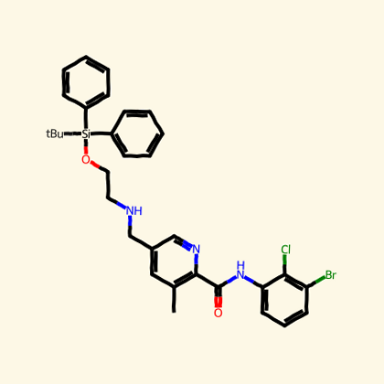 Cc1cc(CNCCO[Si](c2ccccc2)(c2ccccc2)C(C)(C)C)cnc1C(=O)Nc1cccc(Br)c1Cl